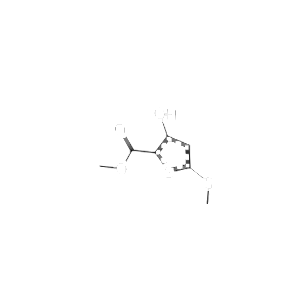 COC(=O)c1sc(SC)cc1O